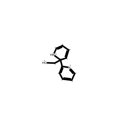 OCC1(c2ccccn2)C=CC=CN1